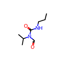 CCCNC(=O)N(C=O)C(C)C